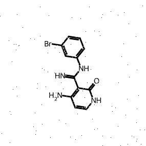 N=C(Nc1cccc(Br)c1)c1c(N)cc[nH]c1=O